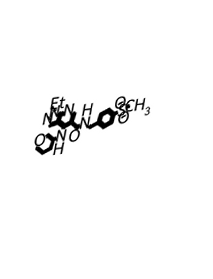 CCn1ncc2c(NC3CCCOC3)c(C(=O)NCc3ccc(S(C)(=O)=O)cc3)cnc21